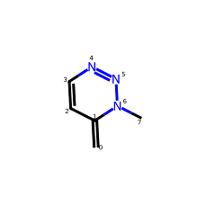 C=C1C=CN=NN1C